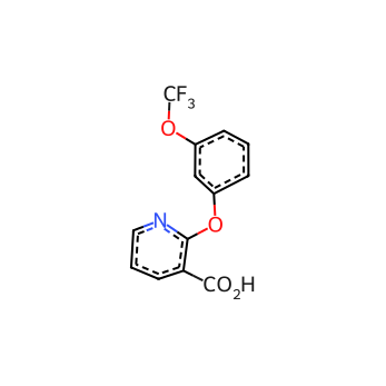 O=C(O)c1cccnc1Oc1cccc(OC(F)(F)F)c1